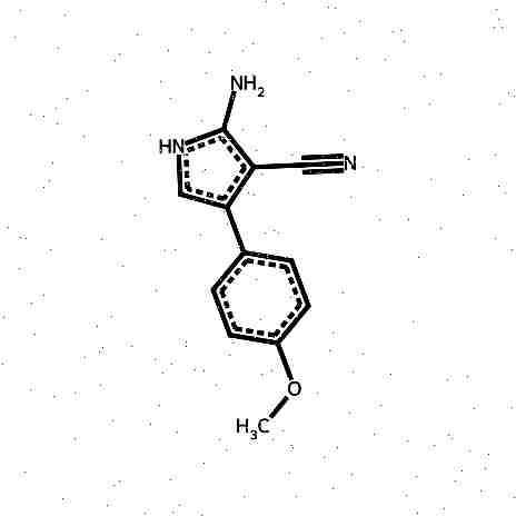 COc1ccc(-c2c[nH]c(N)c2C#N)cc1